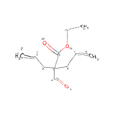 C=CCC(C=O)(CC=C)C(=O)OCC